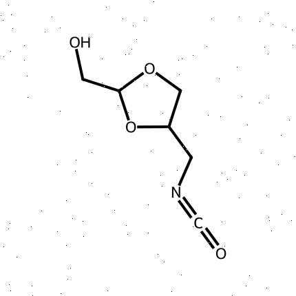 O=C=NCC1COC(CO)O1